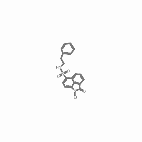 CCN1C(=O)c2cccc3c(S(=O)(=O)NCCc4ccccc4)ccc1c23